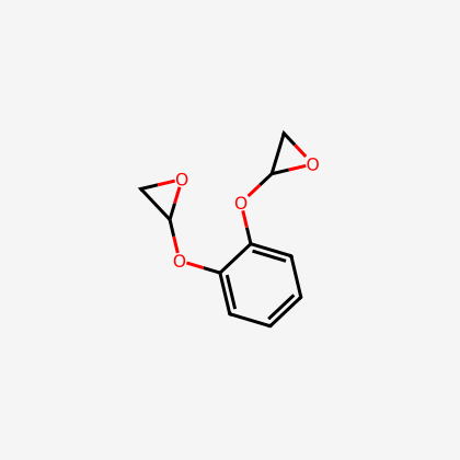 c1ccc(OC2CO2)c(OC2CO2)c1